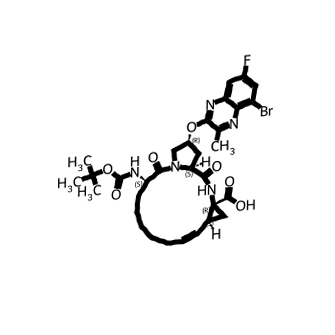 Cc1nc2c(Br)cc(F)cc2nc1O[C@@H]1C[C@H]2C(=O)N[C@]3(C(=O)O)C[C@H]3C=CCCCCC[C@H](NC(=O)OC(C)(C)C)C(=O)N2C1